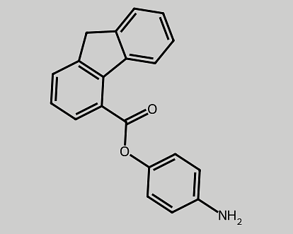 Nc1ccc(OC(=O)c2cccc3c2-c2ccccc2C3)cc1